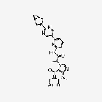 CC(=O)Cn1c(=O)c2c(ncn2[C@@H](C)C(=O)Nc2cccc(-c3cnc(N4CC5CC5C4)nc3)n2)n(C)c1=O